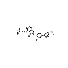 Cn1cc(-c2ccc(CN3Cc4ccnc(OCCC(F)(F)F)c4C3=O)c(F)c2)nn1